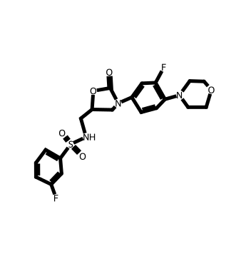 O=C1OC(CNS(=O)(=O)c2cccc(F)c2)CN1c1ccc(N2CCOCC2)c(F)c1